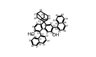 Oc1ccc(C2(c3ccc(O)c(-c4cccc5ccccc45)c3)C3CC4CC(C3)CC2C4)cc1-c1cccc2ccccc12